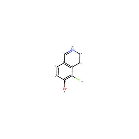 Fc1c(Br)ccc2c1CCN=C2